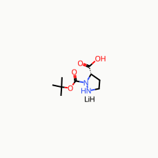 CC(C)(C)OC(=O)N1NCC[C@H]1C(=O)O.[LiH]